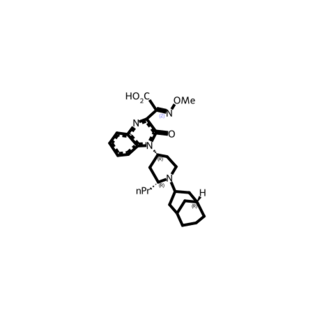 CCC[C@@H]1C[C@H](n2c(=O)c(/C(=N/OC)C(=O)O)nc3ccccc32)CCN1C1CC2CCC[C@H](C2)C1